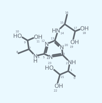 CC(Nc1nc(NC(C)C(O)O)nc(NC(C)C(O)O)n1)C(O)O